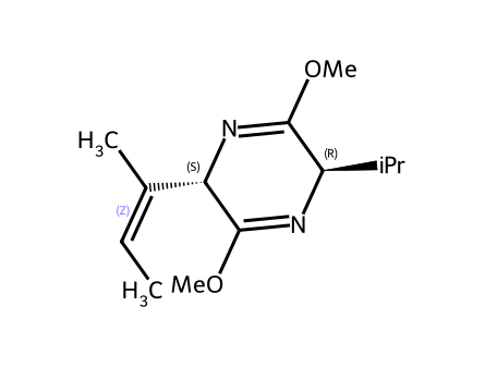 C/C=C(/C)[C@@H]1N=C(OC)[C@@H](C(C)C)N=C1OC